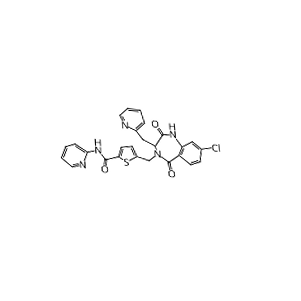 O=C(Nc1ccccn1)c1ccc(CN2C(=O)c3ccc(Cl)cc3NC(=O)C2Cc2ccccn2)s1